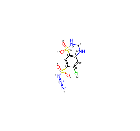 [N-]=[N+]=NS(=O)(=O)c1cc2c(cc1Cl)NCNS2(=O)=O